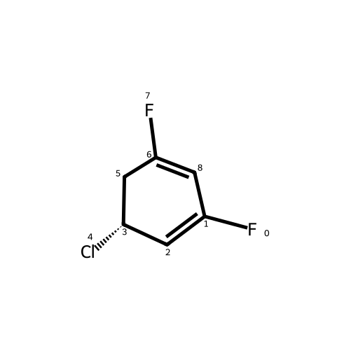 FC1=C[C@H](Cl)CC(F)=C1